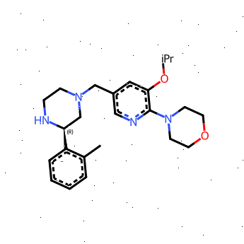 Cc1ccccc1[C@@H]1CN(Cc2cnc(N3CCOCC3)c(OC(C)C)c2)CCN1